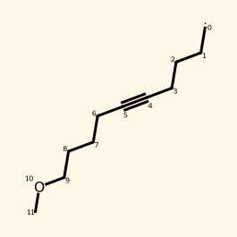 [CH2]CCCC#CCCCCOC